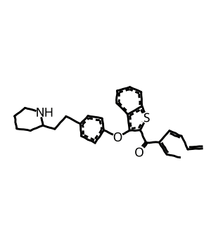 C=C/C=C\C(=C/C)C(=O)c1sc2ccccc2c1Oc1ccc(CCC2CCCCN2)cc1